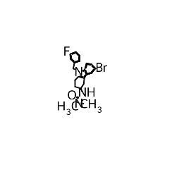 CN(C)C(=O)NC1CCc2c(c3cc(Br)ccc3n2Cc2cccc(F)c2)C1